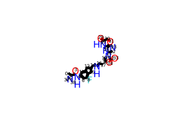 CC(C(=O)Nc1cc(F)c2c(c1)CC(CNCC[C@@H]1CN(c3cnc4c(n3)NC(=O)CO4)C(=O)O1)C2)N(C)C